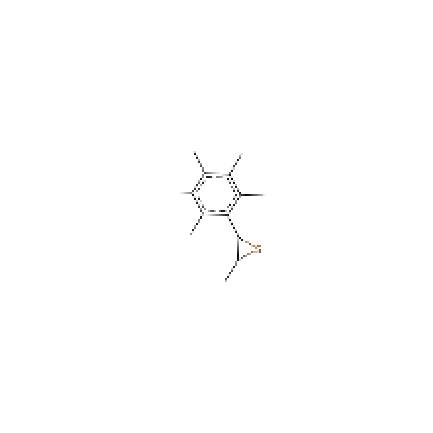 Cc1c(C)c(C)c(C2SC2C)c(C)c1C